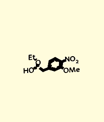 CCOP(O)Cc1ccc([N+](=O)[O-])c(OC)c1